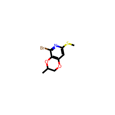 CSc1cc2c(c(Br)n1)OC(C)CO2